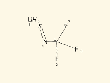 FC(F)(F)N=S.[LiH]